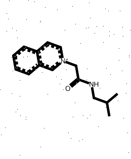 CC(C)CNC(=O)C[n+]1ccc2ccccc2c1